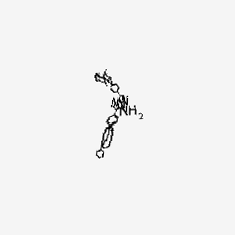 CN1CCN(c2ccc(-c3cnn4c(N)c(-c5ccc(OCc6ccccc6)cc5)cnc34)cc2)CC1